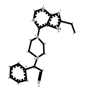 CCc1nc2ncnc(N3CCN(C(C=O)c4ccccc4)CC3)c2[nH]1